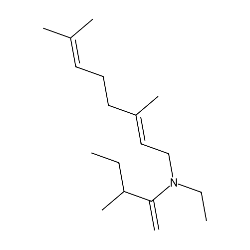 C=C(C(C)CC)N(CC)C/C=C(\C)CCC=C(C)C